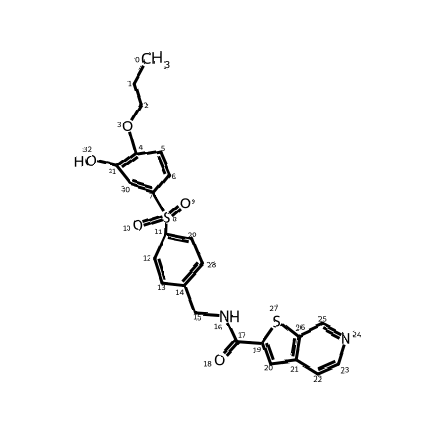 CCCOc1ccc(S(=O)(=O)c2ccc(CNC(=O)c3cc4ccncc4s3)cc2)cc1O